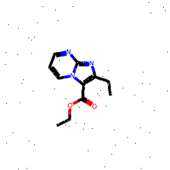 CCOC(=O)c1c(CC)nc2ncccn12